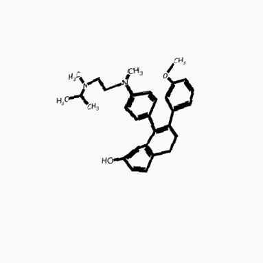 COc1cccc(C2=C(c3ccc(N(C)CCN(C)C(C)C)cc3)c3cc(O)ccc3CC2)c1